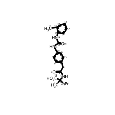 CCCC(C)(NC(=O)Cc1ccc(NC(=O)Nc2ccccc2C)cc1)C(=O)O